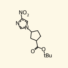 CC(C)(C)OC(=O)C1CCC(n2cnc([N+](=O)[O-])c2)C1